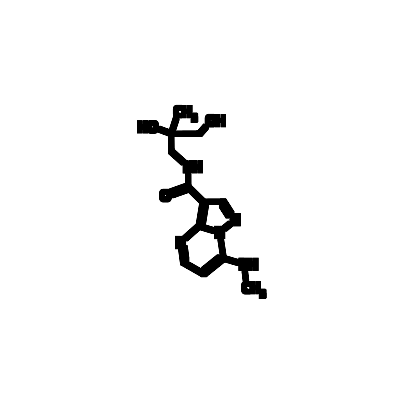 CNc1ccnc2c(C(=O)NCC(C)(O)CO)cnn12